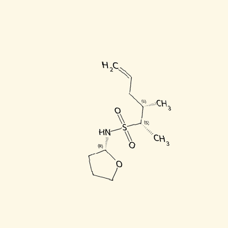 C=CC[C@H](C)[C@H](C)S(=O)(=O)N[C@H]1CCCO1